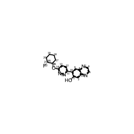 Oc1cc2nccnc2cc1-c1ccc(O[C@H]2CCCC[C@H]2F)nn1